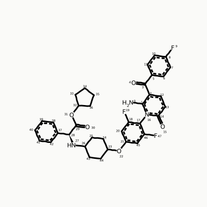 Nc1c(C(=O)c2ccc(F)cc2)ccc(=O)n1-c1c(F)cc(OC2CCC(N[C@H](C(=O)OC3CCCC3)c3ccccc3)CC2)cc1F